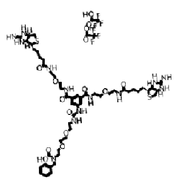 N=C1N[C@H]2[C@H](CS[C@H]2CCCCC(=O)NCCOCCNC(=O)c2cc(NC(=O)NCCOCCOCCN(Cc3ccccc3)C(=O)O)cc(C(=O)NCCOCCNC(=O)CCCC[C@@H]3SC[C@@H]4NC(=N)N[C@@H]43)c2)N1.O=C(O)C(F)(F)F.O=C(O)C(F)(F)F